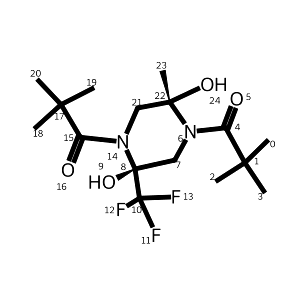 CC(C)(C)C(=O)N1C[C@](O)(C(F)(F)F)N(C(=O)C(C)(C)C)C[C@]1(C)O